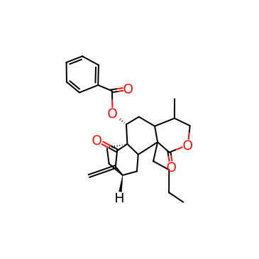 C=C1C(=O)[C@]23CC[C@H]1CC2C1(CCCC)C(=O)OCC(C)C1C[C@H]3OC(=O)c1ccccc1